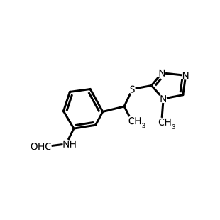 CC(Sc1nncn1C)c1cccc(NC=O)c1